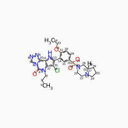 CCCn1c(=O)n2cnnc2c2[nH]c(-c3cc(S(=O)(=O)N4CCN5CCC[C@H]5C4)ccc3OCC)c(Cl)c21